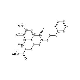 COC(=O)CCCCN(CCCc1ccccc1)C(=O)c1cc(OC)c(Br)c(OC)c1